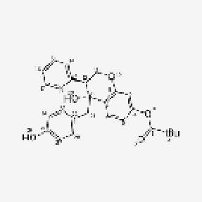 CC(C)(C)C(=O)Oc1ccc2c(c1)OC[C@H](c1ccccc1)[C@]2(O)Cc1ccc(O)cc1